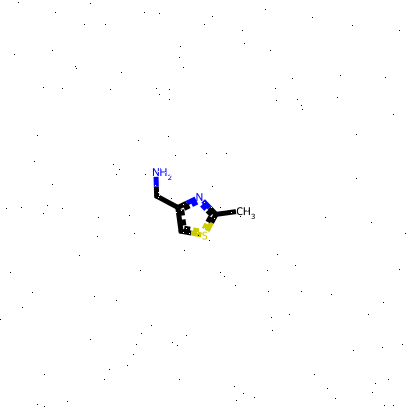 Cc1nc(CN)cs1